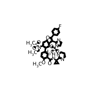 CCN(c1cc2oc(-c3ccc(F)cc3)c(-c3nccn3S(C)(=O)=O)c2cc1-c1ccc(OC)c(C(=O)NC2(c3ncccn3)CC2)c1)S(C)(=O)=O